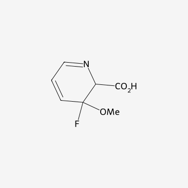 COC1(F)C=CC=NC1C(=O)O